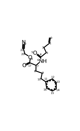 C=CCCC(=O)NC(CCCc1ccccc1)C(=O)OCC#N